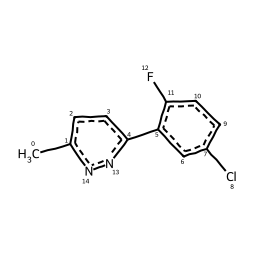 Cc1ccc(-c2cc(Cl)ccc2F)nn1